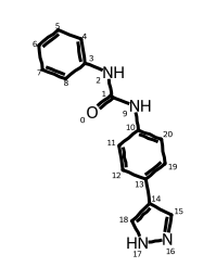 O=C(Nc1ccccc1)Nc1ccc(-c2cn[nH]c2)cc1